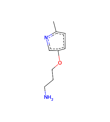 Cc1ccc(OCCCN)cn1